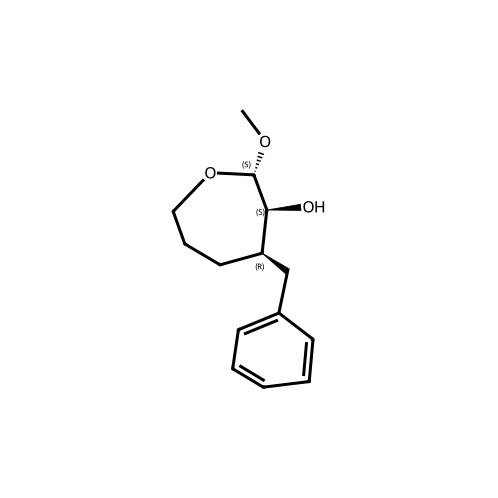 CO[C@H]1OCCC[C@H](Cc2ccccc2)[C@@H]1O